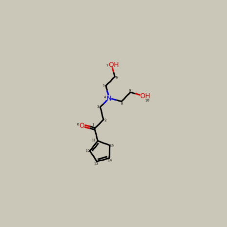 O=C(CCN(CCO)CCO)C1=CC=CC1